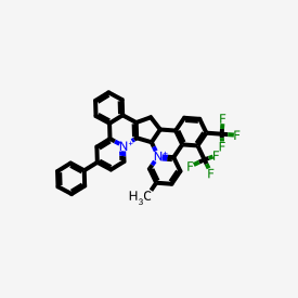 Cc1ccc2[n+](c1)C1c3c(c4ccccc4c4cc(-c5ccccc5)cc[n+]34)CC1c1ccc(C(F)(F)F)c(C(F)(F)F)c1-2